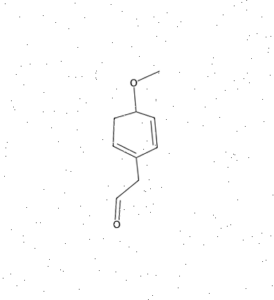 COC1C=CC(CC=O)=CC1